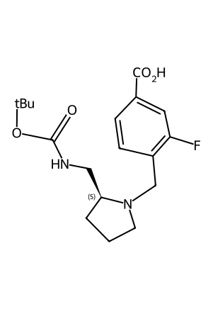 CC(C)(C)OC(=O)NC[C@@H]1CCCN1Cc1ccc(C(=O)O)cc1F